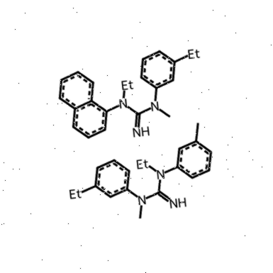 CCc1cccc(N(C)C(=N)N(CC)c2cccc(C)c2)c1.CCc1cccc(N(C)C(=N)N(CC)c2cccc3ccccc23)c1